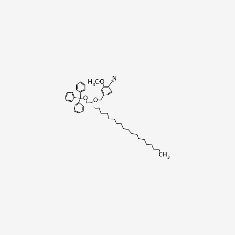 CCCCCCCCCCCCCCCCCCC[C@H](COC(c1ccccc1)(c1ccccc1)c1ccccc1)OCc1ccc(C#N)c(OC)c1